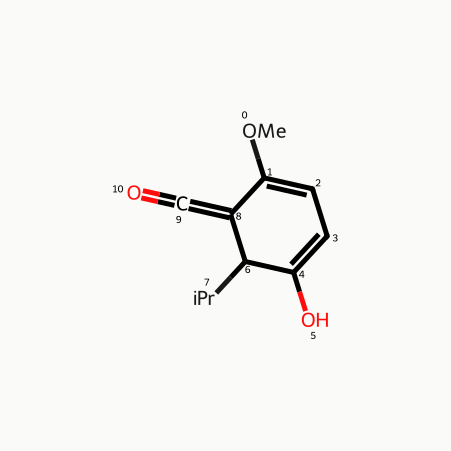 COC1=CC=C(O)C(C(C)C)C1=C=O